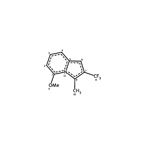 COc1cccc2cc(C(F)(F)F)c(C)n12